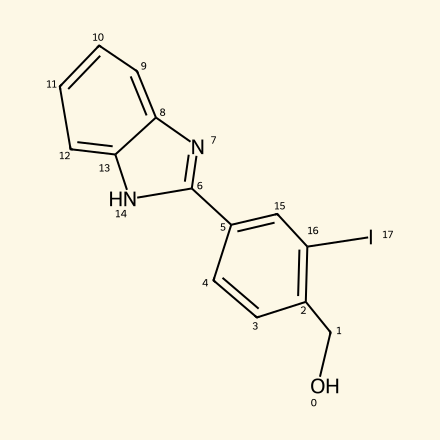 OCc1ccc(-c2nc3ccccc3[nH]2)cc1I